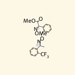 CO/N=C(/C(=O)OC)c1ccccc1CO/N=C(\C)c1ccccc1C(F)(F)F